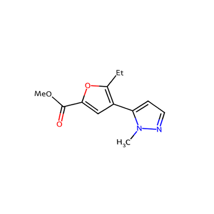 CCc1oc(C(=O)OC)cc1-c1ccnn1C